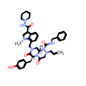 C=CCN1CC(=O)N2[C@@H](Cc3ccc(O)cc3)C(=O)N(Cc3cccc4c(C(=O)NN5CCCCC5)cn(C)c34)C[C@@H]2N1C(=O)NCc1ccccc1